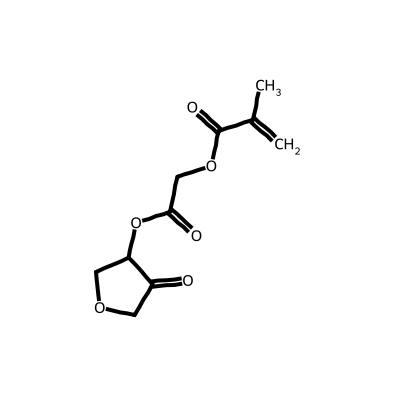 C=C(C)C(=O)OCC(=O)OC1COCC1=O